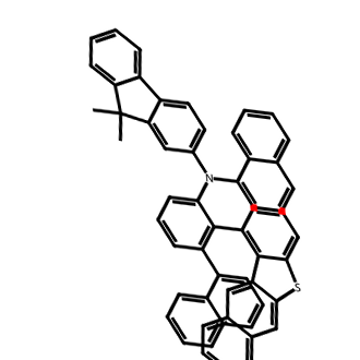 CC1(C)c2ccccc2-c2ccc(N(c3cccc(-c4cccc5ccccc45)c3-c3cccc4sc5cc6ccccc6cc5c34)c3cccc4ccccc34)cc21